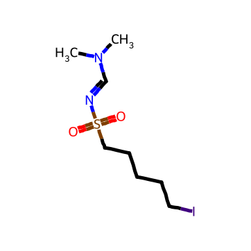 CN(C)C=NS(=O)(=O)CCCCCI